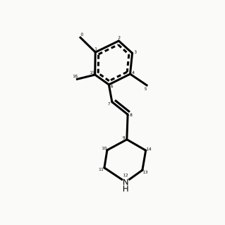 Cc1ccc(C)c(/C=C/C2CCNCC2)c1C